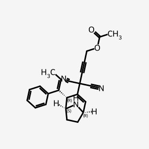 CC=C(c1ccccc1)[C@@H]1C(C(C#N)(C#N)C#CCOC(C)=O)=C[C@H]2CC[C@@H]1N2